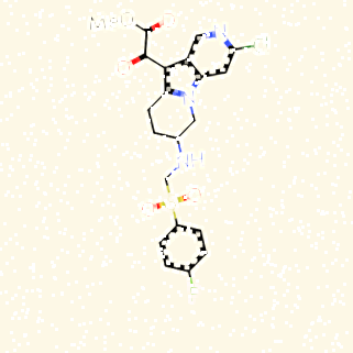 COC(=O)C(=O)c1c2n(c3cc(Cl)ncc13)CC(NCS(=O)(=O)c1ccc(F)cc1)CC2